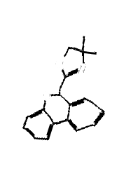 CC1(C)COC(C2Oc3ccccc3-c3ccccc32)=N1